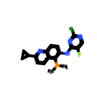 CP(C)c1c(Nc2nc(Cl)ncc2F)ccc2nc(C3CC3)ccc12